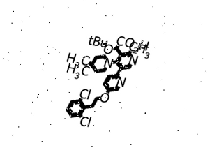 Cc1ncc(-c2ccc(OCCc3c(Cl)cccc3Cl)cn2)c(N2CCC(C)(C)CC2)c1C(OC(C)(C)C)C(=O)O